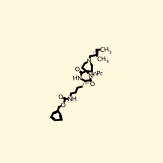 C/C=C(\C)CN1CCC2(CC1)C(=O)N[C@@H](CCCCNC(=O)OCc1ccccc1)C(=O)N2CCC